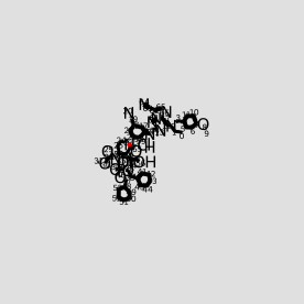 CCN(Cc1ccc(OC)cc1)c1nc(Nc2cc(C#N)cc(N3CC[C@@H](NC(=O)OC)[C@H](C(C)(OP(=O)(OCc4ccccc4)OCc4ccccc4)C(=O)O)C3)c2Cl)nn2c(C#N)cnc12